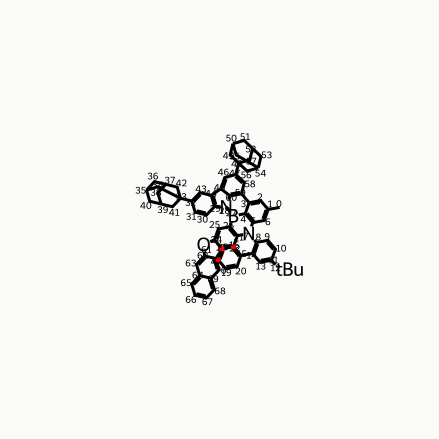 Cc1cc2c3c(c1)N(c1ccc(C(C)(C)C)cc1-c1ccccc1)c1cc4c(cc1B3n1c3ccc(C56CC7CC(CC(C7)C5)C6)cc3c3cc(C56CC7CC(CC(C7)C5)C6)cc-2c31)oc1cc2ccccc2cc14